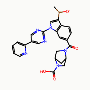 C[S+]([O-])c1cn(-c2ncc(-c3ccccn3)cn2)c2cc(C(=O)N3CC4CC3CN4C(=O)O)ccc12